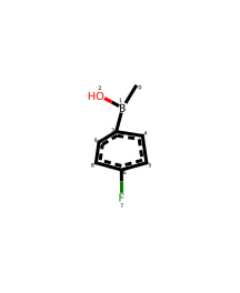 CB(O)c1ccc(F)cc1